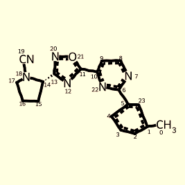 Cc1cccc(-c2nccc(-c3nc([C@@H]4CCCN4C#N)no3)n2)c1